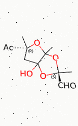 CC(=O)[C@@]1(C)CC2(O)O[C@](C)(C=O)OC2(C)O1